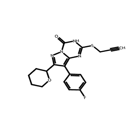 C#CCSc1nc2c(-c3ccc(F)cc3)c(C3CCCCO3)nn2c(=O)[nH]1